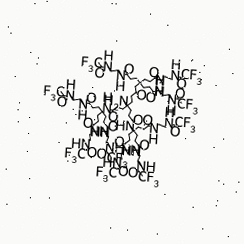 NC(CCC(=O)CC(CCC(=O)NCCNC(=O)C(F)(F)F)(CCC(=O)NCCNC(=O)C(F)(F)F)CCC(=O)NCCNC(=O)C(F)(F)F)(CCC(=O)NC(CCC(=O)NCCNC(=O)C(F)(F)F)(CCC(=O)NCCNC(=O)C(F)(F)F)CCC(=O)NCCNC(=O)C(F)(F)F)CCC(=O)NC(CCC(=O)NCCNC(=O)C(F)(F)F)(CCC(=O)NCCNC(=O)C(F)(F)F)CCC(=O)NCCNC(=O)C(F)(F)F